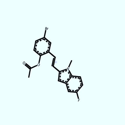 CC(=O)Oc1ccc(Br)cc1/C=C/c1cc2cc(F)ccc2n1C